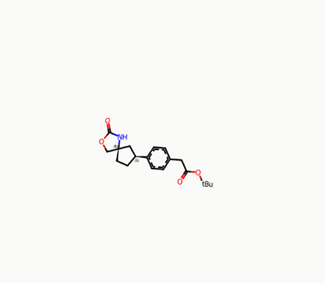 CC(C)(C)OC(=O)Cc1ccc([C@H]2CC[C@]3(COC(=O)N3)C2)cc1